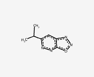 CC(C)c1cc2nnoc2nn1